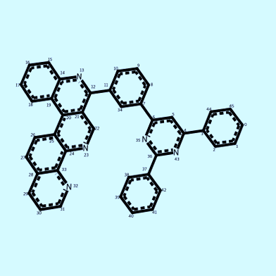 c1ccc(-c2cc(-c3cccc(-c4nc5ccccc5c5c4cnc4c5ccc5cccnc54)c3)nc(-c3ccccc3)n2)cc1